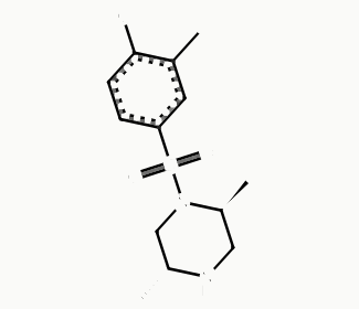 Cc1cc(S(=O)(=O)N2C[C@@H](C)NC[C@@H]2C)ccc1Cl